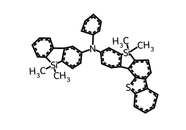 C[Si]1(C)c2ccccc2-c2cc(N(c3ccccc3)c3ccc4c(c3)[Si](C)(C)c3ccc5c(sc6ccccc65)c3-4)ccc21